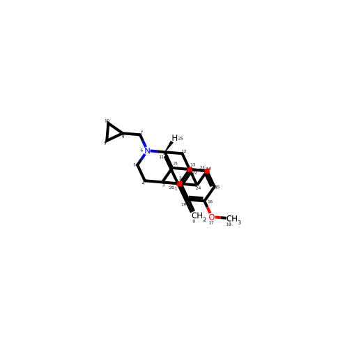 C=C1C[C@]23CCN(CC4CC4)[C@H](Cc4ccc(OC)cc42)C3C2CC12